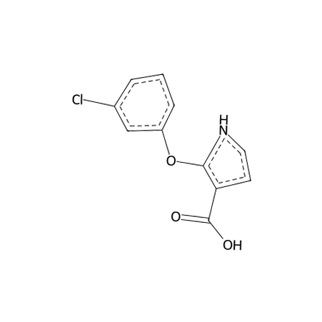 O=C(O)c1cc[nH]c1Oc1cccc(Cl)c1